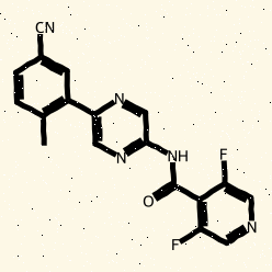 Cc1ccc(C#N)cc1-c1cnc(NC(=O)c2c(F)cncc2F)cn1